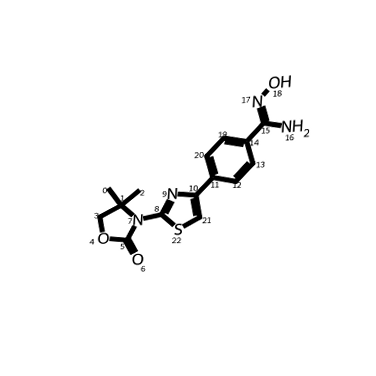 CC1(C)COC(=O)N1c1nc(-c2ccc(C(N)=NO)cc2)cs1